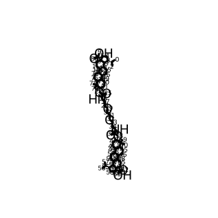 CC(C)[C@H]1CC[C@@]2(C(=O)O)CC[C@@]3(C)C(CCC4[C@]5(C)CC[C@@H](OC(=O)NCCOCCOCCNC(=O)O[C@@H]6CC[C@@]7(C)C(CC[C@]8(C)C7CCC7C9[C@H](C(C)C)CC[C@]9(C(=O)O)CC[C@]78C)C6(C)C)C(C)(C)C5CC[C@@]43C)C12